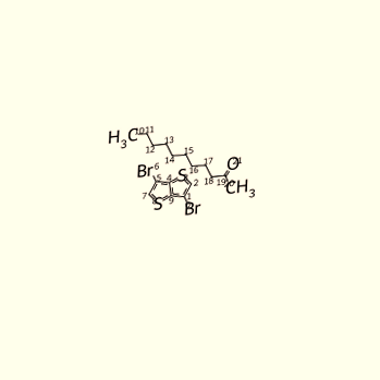 Brc1csc2c(Br)csc12.CCCCCCCCCC(C)=O